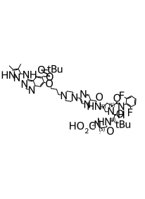 Cc1[nH]nc(Nc2ncnc3cc(OCCCN4CCN(c5cnc(C(=O)N[C@H]6C[C@@H](C(=O)Nc7c(F)cccc7F)N(C(=O)[C@@H](NC(=O)[C@H](C)N(C)C(=O)O)C(C)(C)C)C6)cn5)CC4)c(S(=O)(=O)C(C)(C)C)cc23)c1C